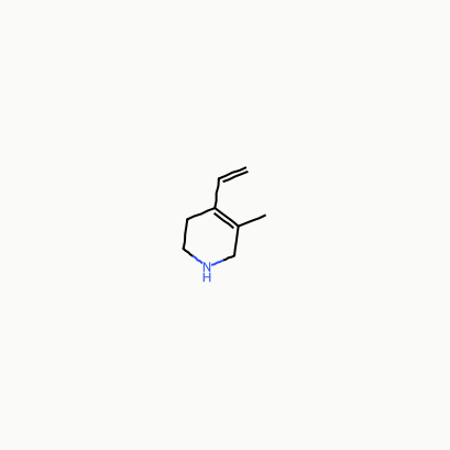 C=CC1=C(C)CNCC1